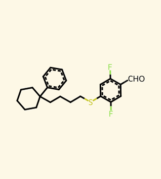 O=Cc1cc(F)c(SCCCCC2(c3ccccc3)CCCCC2)cc1F